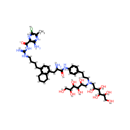 Cc1nc(N)c(C(=O)NC(=N)NCCCCc2ccc(CC(N)C(=O)Nc3ccc(CCCN(CC(O)C(O)C(O)C(O)CO)CC(O)C(O)C(O)C(O)CO)cc3)c3c2CCCC3)nc1Cl